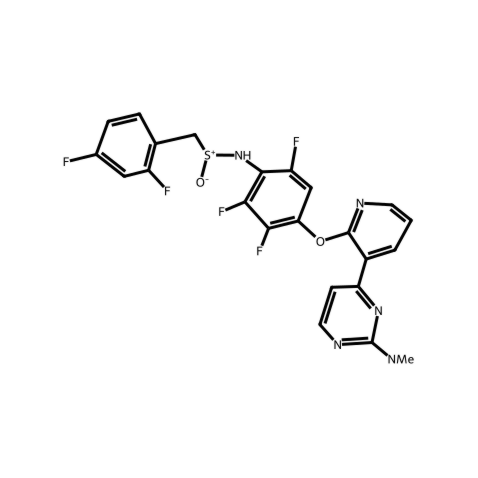 CNc1nccc(-c2cccnc2Oc2cc(F)c(N[S+]([O-])Cc3ccc(F)cc3F)c(F)c2F)n1